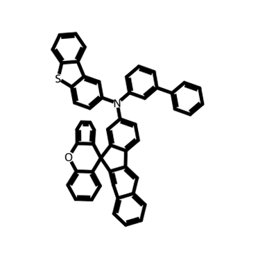 c1ccc(-c2cccc(N(c3ccc4c(c3)C3(c5ccccc5Oc5ccccc53)c3cc5ccccc5cc3-4)c3ccc4sc5ccccc5c4c3)c2)cc1